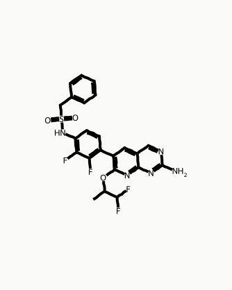 CC(Oc1nc2nc(N)ncc2cc1-c1ccc(NS(=O)(=O)Cc2ccccc2)c(F)c1F)C(F)F